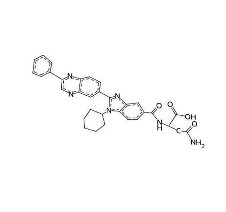 NC(=O)CC(NC(=O)c1ccc2c(c1)nc(-c1ccc3nc(-c4ccccc4)cnc3c1)n2C1CCCCC1)C(=O)O